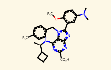 C[C@@H](Nc1nc(C(=O)O)nc2nc(-c3cc(N(C)C)ccc3OC(F)(F)F)n(Cc3ccc(C(F)(F)F)cc3)c12)C1CCC1